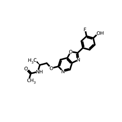 CC(=O)N[C@@H](C)COc1cc2oc(-c3ccc(O)c(F)c3)nc2cn1